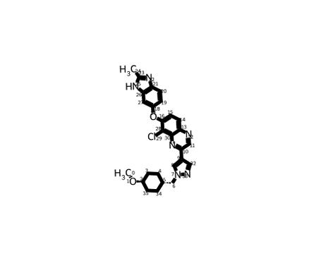 CO[C@H]1CC[C@H](Cn2cc(-c3cnc4ccc(Oc5ccc6nc(C)[nH]c6c5)c(Cl)c4n3)cn2)CC1